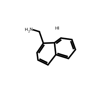 I.NCc1cccc2ccccc12